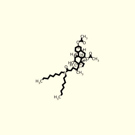 CCCCCCCCN(CCCCCCCC)C(=O)CC[C@@H](C)[C@H]1CC[C@H]2[C@@H]3[C@H](OC(C)=O)C[C@@H]4C[C@H](OC(C)=O)CC[C@]4(C)[C@H]3C[C@H](O)[C@]12C